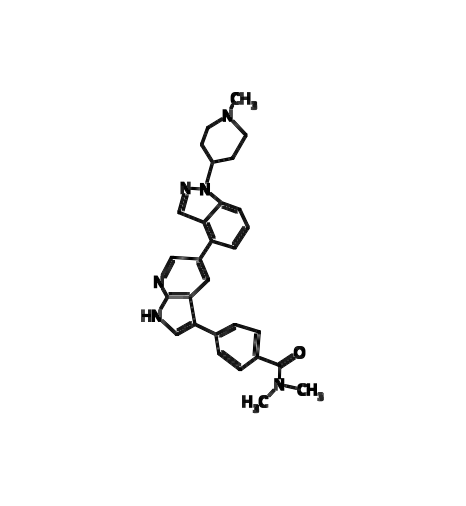 CN1CCC(n2ncc3c(-c4cnc5[nH]cc(-c6ccc(C(=O)N(C)C)cc6)c5c4)cccc32)CC1